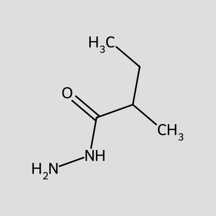 CCC(C)C(=O)NN